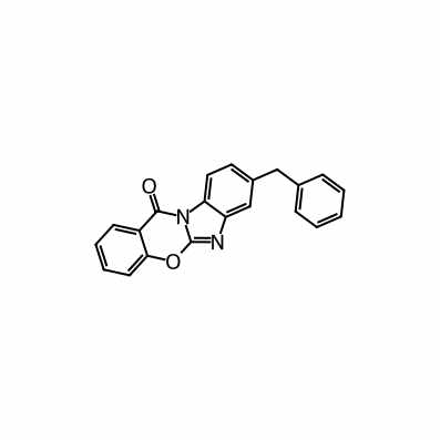 O=c1c2ccccc2oc2nc3cc(Cc4ccccc4)ccc3n12